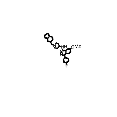 COc1ccc2c(-c3ccc(F)cc3)nnc(NC3CCN(Cc4ccc5ccccc5c4)CC3)c2c1